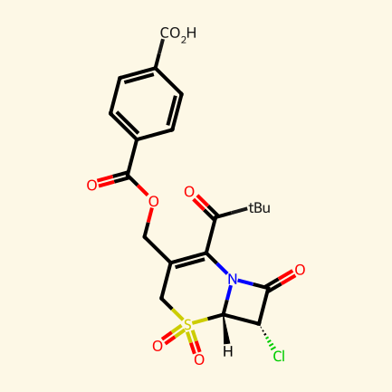 CC(C)(C)C(=O)C1=C(COC(=O)c2ccc(C(=O)O)cc2)CS(=O)(=O)[C@H]2[C@@H](Cl)C(=O)N12